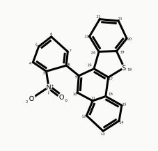 O=[N+]([O-])c1ccccc1-c1cc2ccccc2c2sc3ccccc3c12